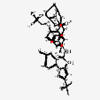 COc1ccc(OCC(F)(F)F)c(C(=O)N2C3CCC2CC(Cc2cccc(NC(=O)Nc4cc(C(C)(C)C)nn4-c4ccc(C)cc4)c2)C3)c1